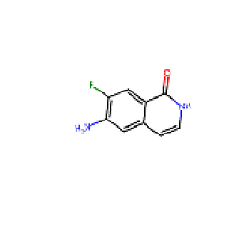 Nc1cc2cc[nH]c(=O)c2cc1F